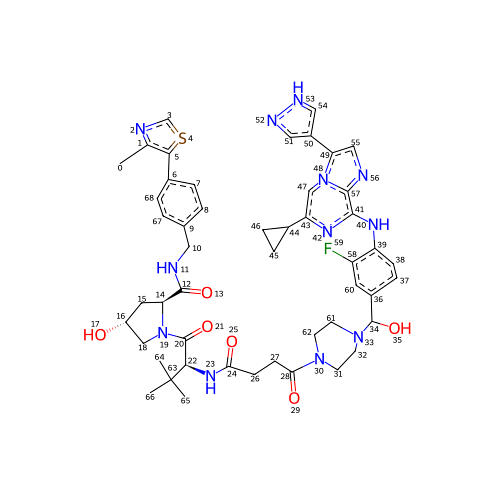 Cc1ncsc1-c1ccc(CNC(=O)[C@@H]2C[C@@H](O)CN2C(=O)[C@@H](NC(=O)CCC(=O)N2CCN(C(O)c3ccc(Nc4nc(C5CC5)cn5c(-c6cn[nH]c6)cnc45)c(F)c3)CC2)C(C)(C)C)cc1